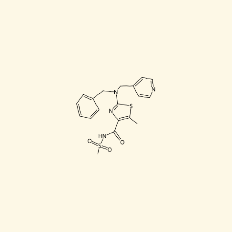 Cc1sc(N(Cc2ccccc2)Cc2ccncc2)nc1C(=O)NS(C)(=O)=O